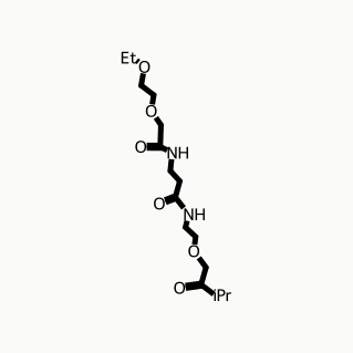 CCOCCOCC(=O)NCCC(=O)NCCOCC(=O)C(C)C